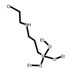 CCO[Si](CCCNCCCl)(OCC)OCC